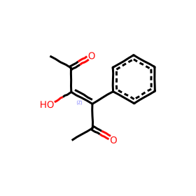 CC(=O)/C(O)=C(/C(C)=O)c1ccccc1